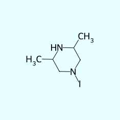 CC1CN(I)CC(C)N1